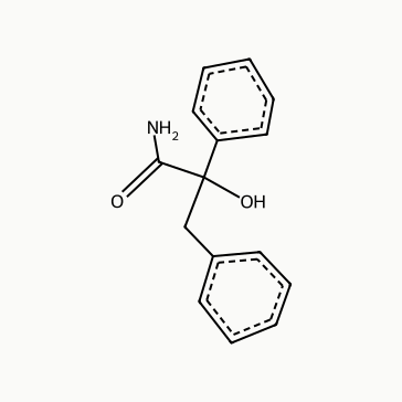 NC(=O)C(O)(Cc1ccccc1)c1ccccc1